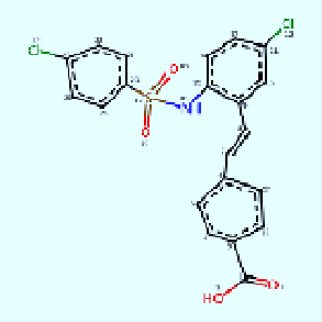 O=C(O)c1ccc(/C=C/c2cc(Cl)ccc2NS(=O)(=O)c2ccc(Cl)cc2)cc1